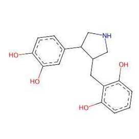 Oc1ccc(C2CNCC2Cc2c(O)cccc2O)cc1O